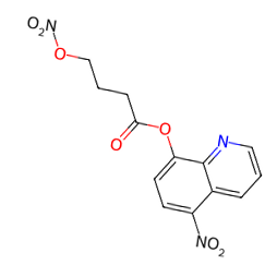 O=C(CCCO[N+](=O)[O-])Oc1ccc([N+](=O)[O-])c2cccnc12